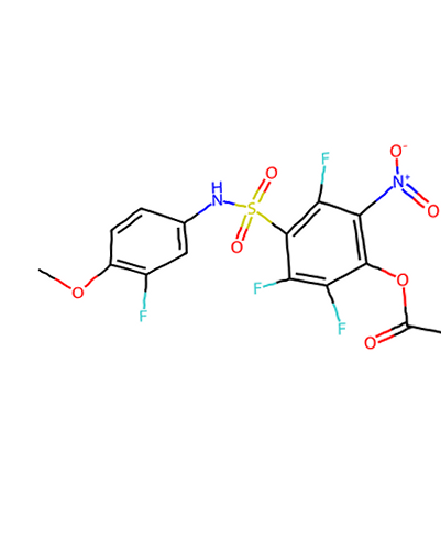 COc1ccc(NS(=O)(=O)c2c(F)c(F)c(OC(C)=O)c([N+](=O)[O-])c2F)cc1F